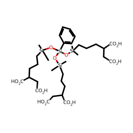 C[Si](C)(CCCC(CC(=O)O)C(=O)O)O[Si](O[Si](C)(C)CCCC(CC(=O)O)C(=O)O)(O[Si](C)(C)CCCC(CC(=O)O)C(=O)O)c1ccccc1